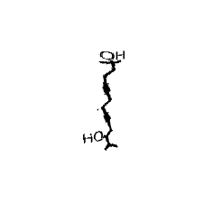 CC(C)C(O)CC#C[CH]CC#CCCC(C)(C)O